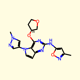 Cc1cc(Nc2nc(O[C@H]3CCOC3)c3c(ccn3-c3cnn(C)c3)n2)on1